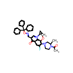 COc1c(N2CCN(C(C)=O)C(C)C2)c(F)cc2c(=O)c(/C=N/OC(c3ccccc3)(c3ccccc3)c3ccccc3)cn(C3CC3)c12